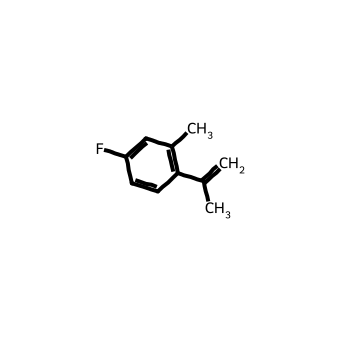 C=C(C)c1ccc(F)cc1C